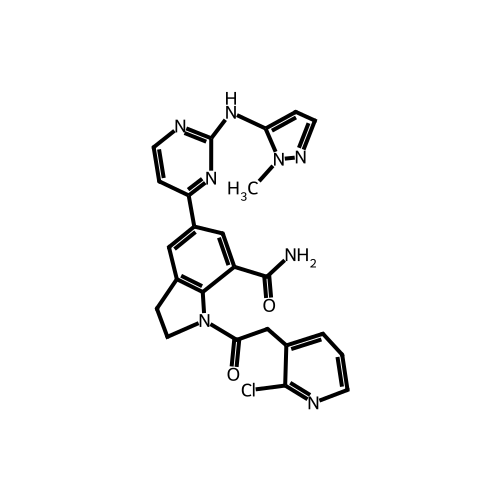 Cn1nccc1Nc1nccc(-c2cc3c(c(C(N)=O)c2)N(C(=O)Cc2cccnc2Cl)CC3)n1